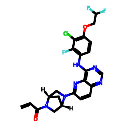 C=CC(=O)N1C[C@@H]2C[C@H]1CN2c1ccc2ncnc(Nc3ccc(OCC(F)F)c(Cl)c3F)c2n1